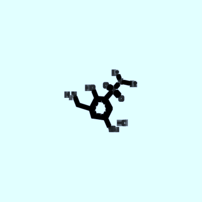 CCN(CC)S(=O)(=O)c1cc(C(C)(C)C)cc(CN)c1O.Cl